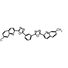 Cc1ccc2ccc(-c3nnc(-c4cccc(-c5nnc(-c6ccc7ccc(C)cc7n6)o5)c4)o3)nc2c1